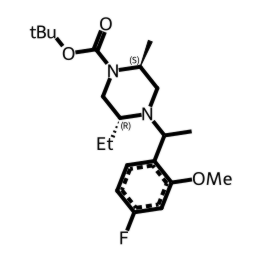 CC[C@@H]1CN(C(=O)OC(C)(C)C)[C@@H](C)CN1C(C)c1ccc(F)cc1OC